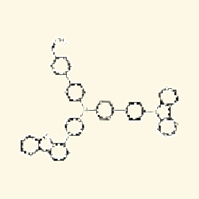 C=Cc1ccc(-c2ccc(N(c3ccc(-c4ccc(-n5c6ccccc6c6ccccc65)cc4)cc3)c3ccc(-c4cccc5c4sc4ccccc45)cc3)cc2)cc1